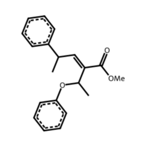 COC(=O)C(=CC(C)c1ccccc1)C(C)Oc1ccccc1